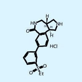 CCS(=O)(=O)c1cccc(-c2ccc3c(c2)C(=O)NC[C@@H]2CNC[C@@H]32)c1.Cl